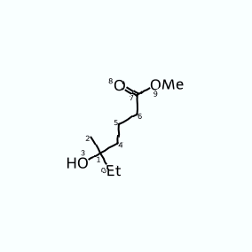 [CH2]CC(C)(O)CCCC(=O)OC